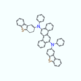 C1=C(N(c2ccccc2)c2cc3c4ccccc4c(N(c4ccccc4)c4ccc5sc6ccccc6c5c4)cc3c3ccccc23)CCc2sc3ccccc3c21